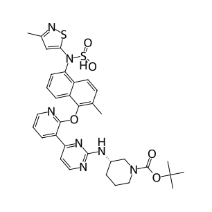 Cc1cc(N(c2cccc3c(Oc4ncccc4-c4ccnc(N[C@H]5CCCN(C(=O)OC(C)(C)C)C5)n4)c(C)ccc23)[SH](=O)=O)sn1